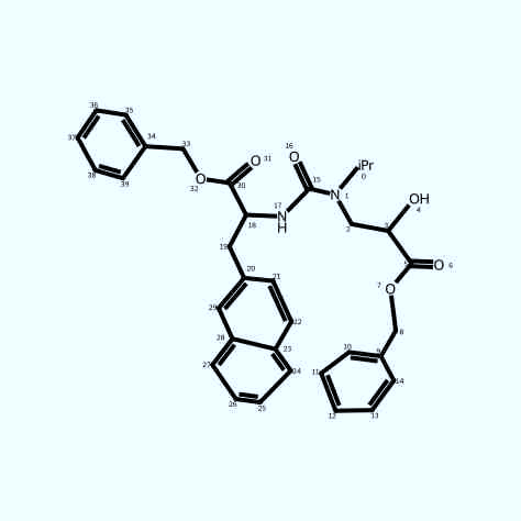 CC(C)N(CC(O)C(=O)OCc1ccccc1)C(=O)NC(Cc1ccc2ccccc2c1)C(=O)OCc1ccccc1